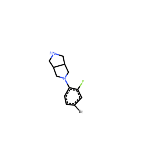 CCc1ccc(N2CC3CNCC3C2)c(F)c1